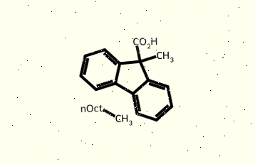 CC1(C(=O)O)c2ccccc2-c2ccccc21.CCCCCCCCC